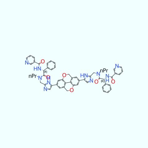 CCCN(Cc1ncc(-c2cc3c4c(c2)OCc2cc(-c5cnc(CN(CCC)C(=O)[C@H](NC(=O)c6cccnc6)c6ccccc6)[nH]5)cc(c2-4)OC3)[nH]1)C(=O)[C@H](NC(=O)c1cccnc1)c1ccccc1